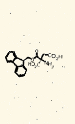 N[C@@](CC(=O)O)(C(=O)O)C(=O)OCC1c2ccccc2-c2ccccc21